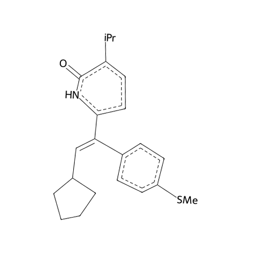 CSc1ccc(/C(=C\C2CCCC2)c2ccc(C(C)C)c(=O)[nH]2)cc1